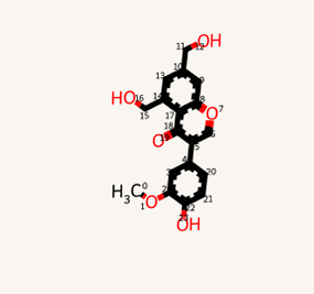 COc1cc(-c2coc3cc(CO)cc(CO)c3c2=O)ccc1O